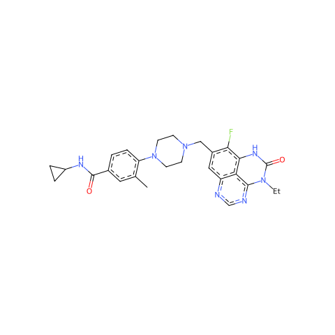 CCN1C(=O)Nc2c(F)c(CN3CCN(c4ccc(C(=O)NC5CC5)cc4C)CC3)cc3ncnc1c23